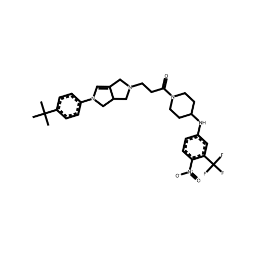 CC(C)(C)c1ccc(N2C=C3CN(CCC(=O)N4CCC(Nc5ccc([N+](=O)[O-])c(C(F)(F)F)c5)CC4)CC3C2)cc1